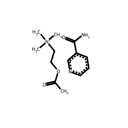 CC(=O)OCC[N+](C)(C)C.NC(=O)c1cccnc1